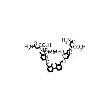 COc1nc(OCc2cccc(-c3cccc(COc4ccc(CN[C@@H](CC(N)=O)C(=O)O)c(OC)n4)c3C)c2C)ccc1CN[C@@H](CC(N)=O)C(=O)O